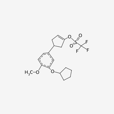 COc1ccc(C2CC=C(OS(=O)(=O)C(F)(F)F)C2)cc1OC1CCCC1